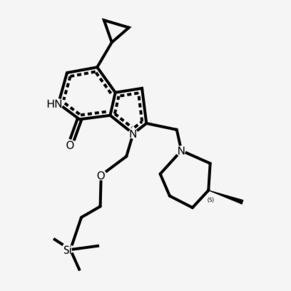 C[C@H]1CCCN(Cc2cc3c(C4CC4)c[nH]c(=O)c3n2COCC[Si](C)(C)C)C1